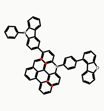 c1ccc(-c2cccc3cccc(-c4ccccc4N(c4ccc(-c5ccc6c(c5)c5ccccc5n6-c5ccccc5)cc4)c4ccc(-c5cccc6oc7ccccc7c56)cc4)c23)cc1